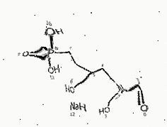 O=CN(O)CC(O)CP(=O)(O)O.[NaH]